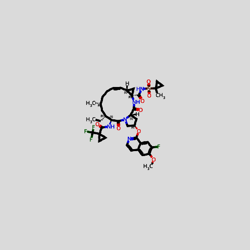 CC[C@@H]1C[C@H](C)CCC=C[C@@H]2C[C@@]2(C(=O)NS(=O)(=O)C2(C)CC2)NC(=O)[C@@H]2C[C@@H](Oc3nccc4cc(OC)c(F)cc34)CN2C(=O)[C@H]1NC(=O)C1(C(F)(F)F)CC1